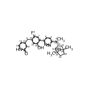 CN(c1ccc(-c2cc(F)c(Cc3cc[nH]c(=O)c3)cc2O)nn1)[C@@H]1C[C@]2(C)CC[C@](C)(C1)N2